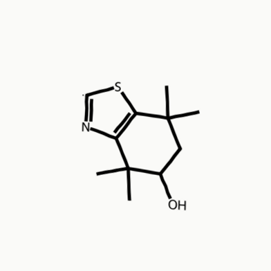 CC1(C)CC(O)C(C)(C)c2n[c]sc21